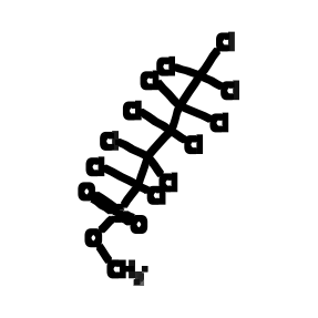 [CH2]OS(=O)(=O)C(Cl)(Cl)C(Cl)(Cl)C(Cl)(Cl)C(Cl)(Cl)C(Cl)(Cl)Cl